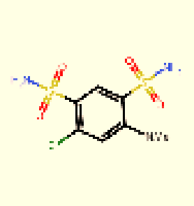 CNc1cc(Cl)c(S(N)(=O)=O)cc1S(N)(=O)=O